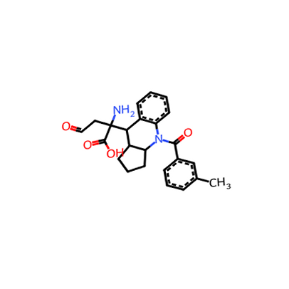 Cc1cccc(C(=O)N2c3ccccc3C(C(N)(CC=O)C(=O)O)C3CCCC32)c1